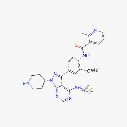 CC(=O)O.COc1cc(-c2nn(C3CCNCC3)c3ncnc(N)c23)ccc1NC(=O)c1cccnc1C